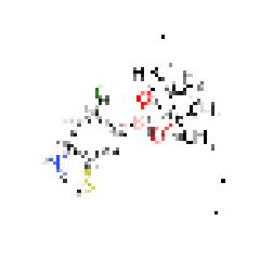 CC1(C)OB(c2cc3scnc3cc2Cl)OC1(C)C